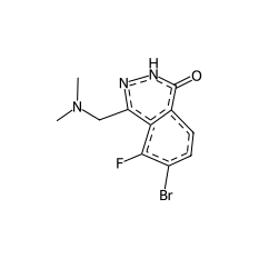 CN(C)Cc1n[nH]c(=O)c2ccc(Br)c(F)c12